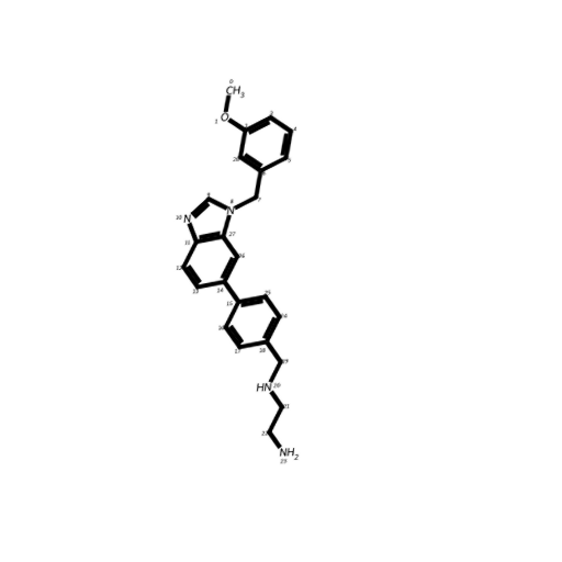 COc1cccc(Cn2cnc3ccc(-c4ccc(CNCCN)cc4)cc32)c1